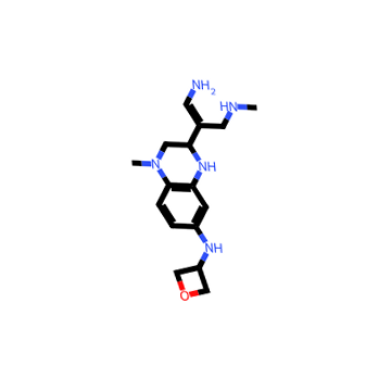 CNC/C(=C\N)C1CN(C)c2ccc(NC3COC3)cc2N1